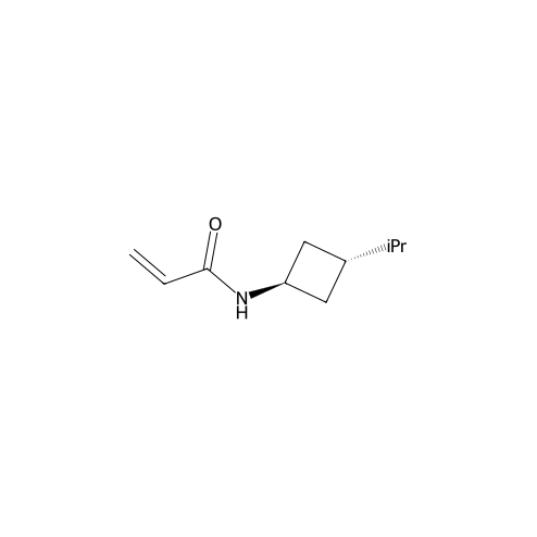 C=CC(=O)N[C@H]1C[C@H](C(C)C)C1